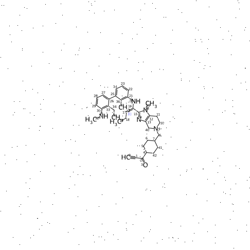 C#CC(=O)C1CCC(CN2CCc3c(nc(/C(=C\CC)Nc4cccc(-c5cccc(NC)c5CC)c4C)n3C)C2)CC1